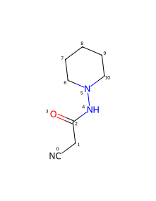 N#CCC(=O)NN1CCCCC1